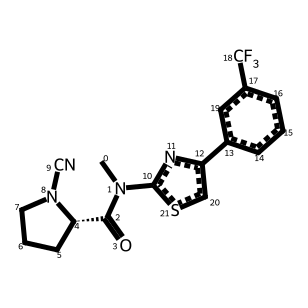 CN(C(=O)[C@@H]1CCCN1C#N)c1nc(-c2cccc(C(F)(F)F)c2)cs1